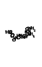 Nc1nc(N)c(C(=O)/C=C2\NCC3(CCN(C(=O)c4ccc(O)cc4)CC3)N2)nc1Cl